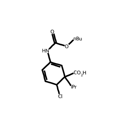 CCCCOC(=O)NC1=CC(C(=O)O)(C(C)C)C(Cl)C=C1